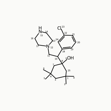 CC1(C)CC(C)(C)CC(O)(C(CN2CCNCC2)c2cccc(Cl)c2)C1